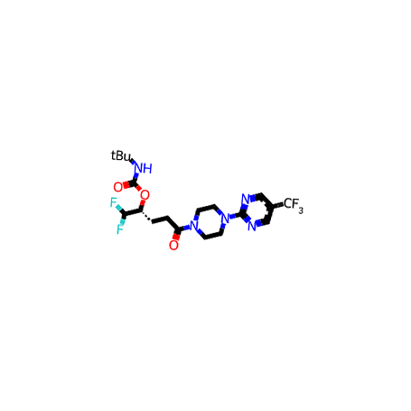 CC(C)(C)NC(=O)O[C@H](CCC(=O)N1CCN(c2ncc(C(F)(F)F)cn2)CC1)C(F)F